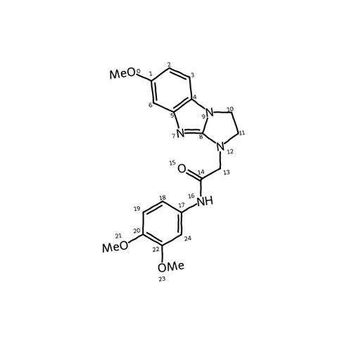 COc1ccc2c(c1)nc1n2CCN1CC(=O)Nc1ccc(OC)c(OC)c1